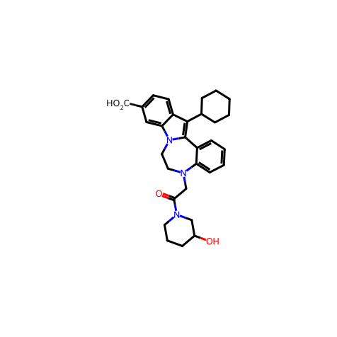 O=C(O)c1ccc2c(C3CCCCC3)c3n(c2c1)CCN(CC(=O)N1CCCC(O)C1)c1ccccc1-3